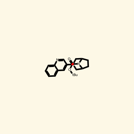 CC(C)(C)OC(=O)N1C2CCC1CN(c1cnc3ccccc3c1)C2